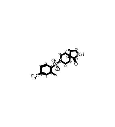 Cc1cc(C(F)(F)F)ccc1S(=O)(=O)N1CCC2(CCNC2=O)CC1